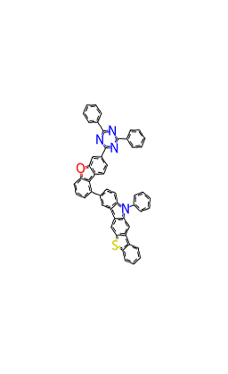 c1ccc(-c2nc(-c3ccccc3)nc(-c3ccc4c(c3)oc3cccc(-c5ccc6c(c5)c5cc7sc8ccccc8c7cc5n6-c5ccccc5)c34)n2)cc1